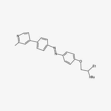 CCCCC(CC)COc1ccc(N=Nc2ccc(-c3ccnc(C)c3)cc2)cc1